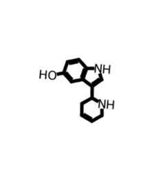 Oc1ccc2[nH]cc(C3CC=CCN3)c2c1